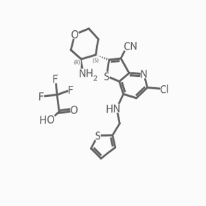 N#Cc1c([C@H]2CCOC[C@@H]2N)sc2c(NCc3cccs3)cc(Cl)nc12.O=C(O)C(F)(F)F